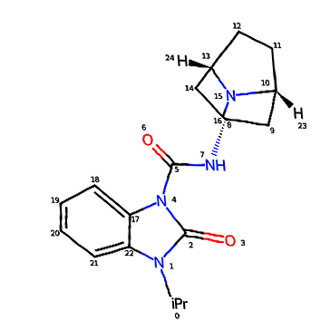 CC(C)n1c(=O)n(C(=O)N[C@H]2C[C@H]3CC[C@@H](C2)N3C)c2ccccc21